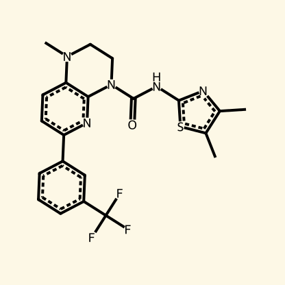 Cc1nc(NC(=O)N2CCN(C)c3ccc(-c4cccc(C(F)(F)F)c4)nc32)sc1C